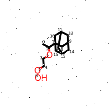 CC(OCCOO)C12CC3CC(CC(C3)C1)C2